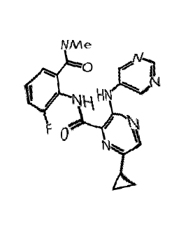 CNC(=O)c1cccc(F)c1NC(=O)c1nc(C2CC2)cnc1Nc1cncnc1